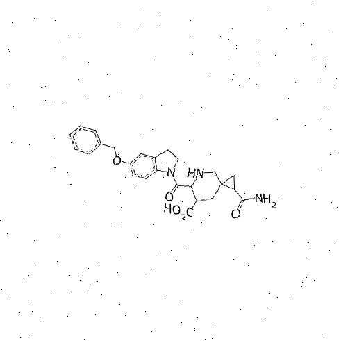 NC(=O)C1CC12CNC(C(=O)N1CCc3cc(OCc4ccccc4)ccc31)C(C(=O)O)C2